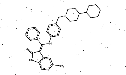 Nc1ccc2c(c1)C(=C(Nc1ccc(CN3CCC(C4CCCCC4)CC3)cc1)c1ccccc1)C(=O)N2